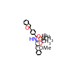 COC(=O)[C@@H](Cc1ccccc1)C[C@@H](CO[Si](C)(C)C(C)(C)C)NC(=O)c1ccc(-c2cc3ccccc3o2)cc1